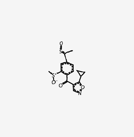 CC(=S=O)c1ccc(C(=O)c2cnoc2C2CC2)c([S+](C)[O-])c1